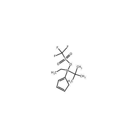 CC[Si](OS(=O)(=O)C(F)(F)F)(C1=CC=CC1)C(C)(C)C